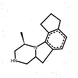 C[C@@H]1CNCC2Cc3ccc4c(c3N21)CCC4